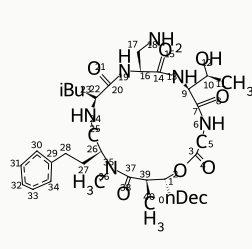 CCCCCCCCCC[C@H]1OC(=O)CNC(=O)[C@H]([C@H](C)O)NC(=O)[C@H](CN)NC(=O)[C@H]([C@H](C)CC)NC[C@H](CCc2ccccc2)N(C)C(=O)[C@@H]1C